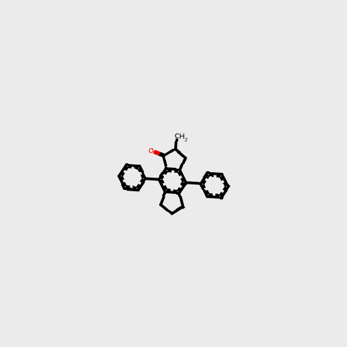 CC1Cc2c(c(-c3ccccc3)c3c(c2-c2ccccc2)CCC3)C1=O